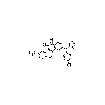 O=c1cc(/C=C\c2ccc(C(F)(F)F)cc2)c2cc(C(c3ccc(Cl)cc3)c3cccs3)ccc2[nH]1